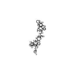 COCCONC(=O)N(Cc1ccsc1)C1CCN(C(C)CCNC(=O)c2c(C)cc(Cl)nc2C)CC1